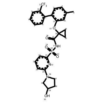 Cc1ccc(-c2ccccc2C(F)(F)F)c(OC2(C(=O)NS(=O)(=O)c3cccc(N4CCC(O)C4)n3)CC2)c1